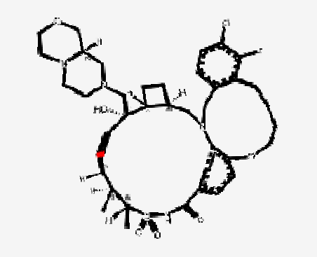 C[C@@H]1[C@@H](C)S(=O)(=O)NC(=O)c2ccc3c(c2)N(Cc2ccc(Cl)c(F)c2CCCCO3)C[C@@H]2CC[C@H]2[C@](O)(CN2CCN3CCOC[C@@H]3C2)C2=C[C@H]1C2